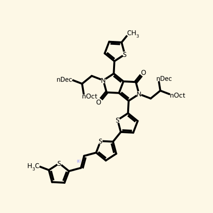 CCCCCCCCCCC(CCCCCCCC)CN1C(=O)C2=C(c3ccc(-c4ccc(/C=C/c5ccc(C)s5)s4)s3)N(CC(CCCCCCCC)CCCCCCCCCC)C(=O)C2=C1c1ccc(C)s1